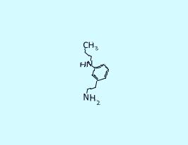 CCCNc1cccc(CCN)c1